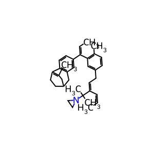 C/C=C\C(=C/Cc1ccc(C)c(/C(=C\C)c2ccc3c(c2)CC2CCC3=C(C)C2)c1)C(C)(C)N1CC1